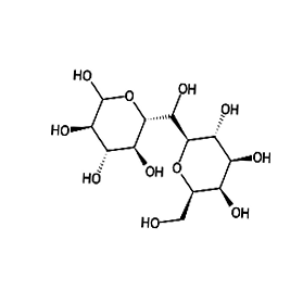 OC[C@H]1O[C@@H](C(O)[C@H]2OC(O)[C@H](O)[C@@H](O)[C@@H]2O)[C@H](O)[C@@H](O)[C@H]1O